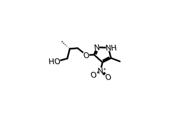 Cc1[nH]nc(OC[C@@H](C)CO)c1[N+](=O)[O-]